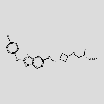 CC(=O)N[C@@H](C)CO[C@H]1C[C@H](COc2ccc3nc(Oc4ccc(F)cc4)sc3c2F)C1